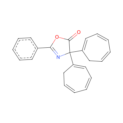 O=C1OC(c2ccccc2)=NC1(C1=CC=CC=CC1)C1=CC=CC=CC1